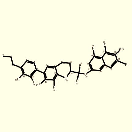 CCCc1ccc(-c2cc3c(c(F)c2F)OC(C(F)(F)Oc2cc(F)c4c(F)c(F)c(F)cc4c2)CC3)c(F)c1F